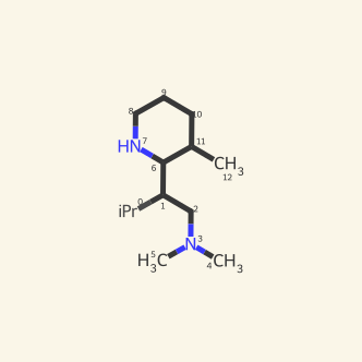 CC(C)C(CN(C)C)C1NCCCC1C